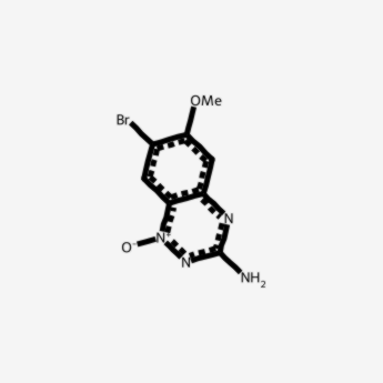 COc1cc2nc(N)n[n+]([O-])c2cc1Br